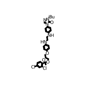 CCC(C)n1ncn(-c2ccc(NCCNc3ccc(OCC4COC(C)(c5ccc(Cl)cc5Cl)O4)cc3)cc2)c1=O